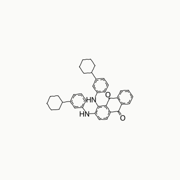 O=C1c2ccccc2C(=O)c2c1ccc(Nc1cccc(C3CCCCC3)c1)c2Nc1cccc(C2CCCCC2)c1